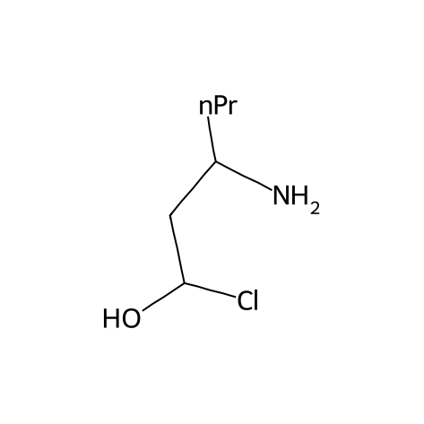 CCCC(N)CC(O)Cl